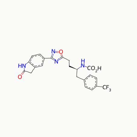 O=C(O)N[C@H](CCc1nc(-c2ccc3c(c2)CC(=O)N3)no1)Cc1ccc(C(F)(F)F)cc1